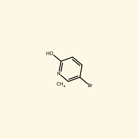 C.Oc1ccc(Br)cn1